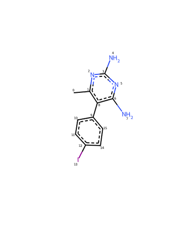 Cc1nc(N)nc(N)c1-c1ccc(I)cc1